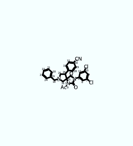 CC(=O)N1C(=O)N(c2cc(Cl)cc(Cl)c2)C(=O)C12CN(Cc1ccccc1)CC2c1ccc(C#N)cc1